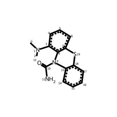 CN(C)c1cccc2c1N(C(N)=O)c1ccccc1S2